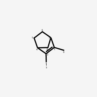 CC1=C(I)C2CCC1C2